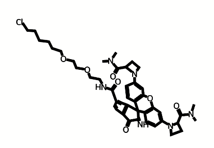 CN(C)C(=O)C1CCN1c1ccc2c(c1)Oc1cc(N3CCC3C(=O)N(C)C)ccc1C21C(=N)C(=O)c2ccc(C(=O)NCCOCCOCCCCCCCl)cc21